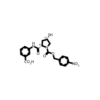 O=C(O)c1cccc(NC(=O)[C@@H]2C[C@H](S)CN2C(=O)OCc2ccc([N+](=O)[O-])cc2)c1